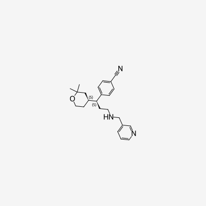 CC1(C)C[C@@H]([C@H](CCNCc2cccnc2)c2ccc(C#N)cc2)CCO1